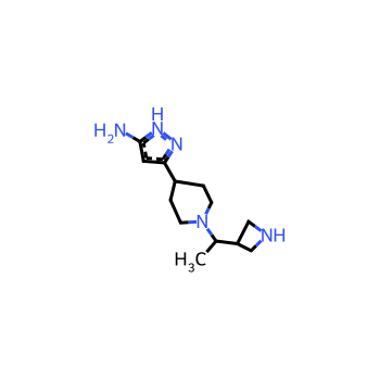 CC(C1CNC1)N1CCC(c2cc(N)[nH]n2)CC1